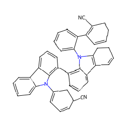 N#CC1=C(c2ccccc2-n2c3c(c4cccc(-c5cccc6c7ccccc7n(C7=CC=CC(C#N)C7)c56)c42)C=CCC3)C=CCC1